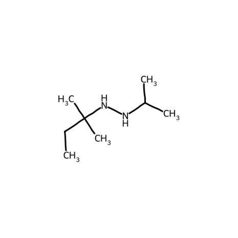 CCC(C)(C)NNC(C)C